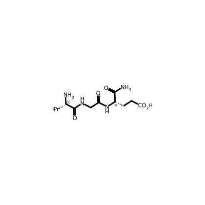 CC(C)[C@H](N)C(=O)NCC(=O)N[C@@H](CCC(=O)O)C(N)=O